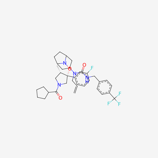 C=CCN(C(=O)NCc1ccc(C(F)(F)F)cc1)C1CC2CCC(C1)N2O[C@]1(c2cccc(F)c2)CN(C(=O)C2CCCC2)C[C@@H]1C